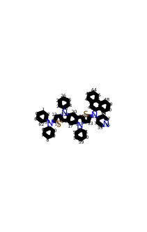 c1ccc(N(c2ccccc2)c2cc3c(s2)c2cc4c(cc2n3-c2ccccc2)c2sc(N(c3ccncc3)c3cc5ccccc5c5ccccc35)cc2n4-c2ccccc2)cc1